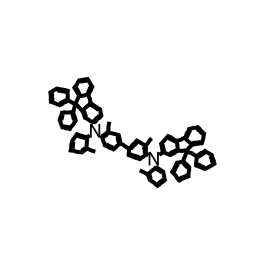 Cc1ccccc1N(c1ccc2c(c1)C(c1ccccc1)(c1ccccc1)c1ccccc1-2)c1ccc(-c2ccc(N(c3ccc4c(c3)C(c3ccccc3)(c3ccccc3)c3ccccc3-4)c3ccccc3C)c(C)c2)cc1C